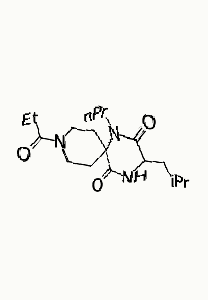 CCCN1C(=O)C(CC(C)C)NC(=O)C12CCN(C(=O)CC)CC2